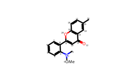 CON(C)c1ccccc1-c1cc(=O)c2cc(C)ccc2o1